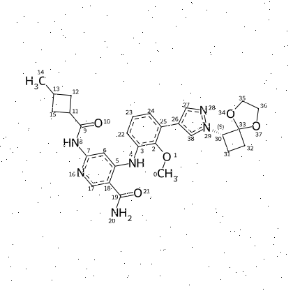 COc1c(Nc2cc(NC(=O)C3CC(C)C3)ncc2C(N)=O)cccc1-c1cnn([C@H]2CCC23OCCO3)c1